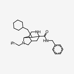 CC(C)CN1CC2CC3(C(=O)NCc4ccccc4)NCC2C1C3CC1CCCCC1